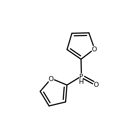 O=[PH](c1ccco1)c1ccco1